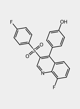 O=S(=O)(c1ccc(F)cc1)c1cnc2c(F)cccc2c1-c1ccc(O)cc1